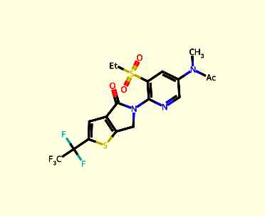 CCS(=O)(=O)c1cc(N(C)C(C)=O)cnc1N1Cc2sc(C(F)(F)C(F)(F)F)cc2C1=O